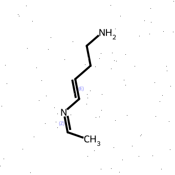 C/C=N\C=C\CCN